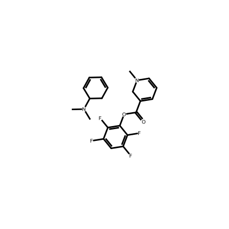 CN(C)C1C=CC=CC1.CN1C=CC=C(C(=O)Oc2c(F)c(F)cc(F)c2F)C1